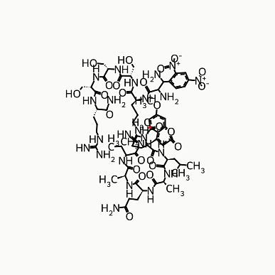 COc1ccc2c([C@@]3(C(=O)N[C@@H](CC(C)C)C(=O)N[C@@H](C)C(=O)N[C@@H](CCC(N)=O)C(=O)N[C@@H](C)C(=O)N[C@H](C(=O)NC(=N)NCCC[C@H](NC(=O)C(N)C(N)c4ccc([N+](=O)[O-])cc4[N+](=O)[O-])C(=O)N[C@@H](CO)C(=O)N[C@@H](CO)C(=O)N[C@@H](CO)C(=O)N[C@@H](CCCNC(=N)N)C(N)=O)C(C)C)CCCN3C(C)=O)cc(=O)oc2c1